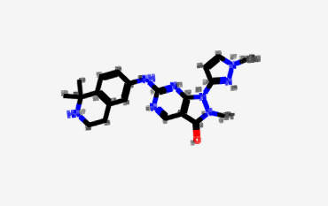 CC(C)n1c(=O)c2cnc(Nc3ccc4c(c3)CCNC4(C)C)nc2n1-c1ccn(C(C)(C)C)n1